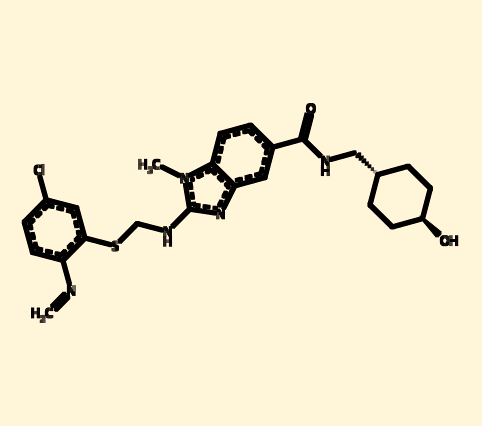 C=Nc1ccc(Cl)cc1SCNc1nc2cc(C(=O)NC[C@H]3CC[C@H](O)CC3)ccc2n1C